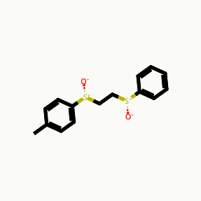 Cc1ccc([S@+]([O-])CC[S@@+]([O-])c2ccccc2)cc1